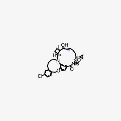 O=C1NS(=O)(=O)[C@H](C2CC2)CC/C=C/[C@H](O)[C@@H]2CC[C@H]2CN2CCCCc3cc(Cl)ccc3COc3ccc1cc32